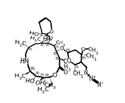 CC[C@H]1OC(=O)[C@H](C)[C@@H](O[C@H]2C[C@@](C)(OC)C(CN=[N+]=[N-])[C@H](C)O2)[C@H](C)[C@@H](O[C@]2(C)OCCC[C@H]2O)[C@](C)(O)C[C@@H](C)CN[C@H](C)[C@@H](O)[C@]1(C)O